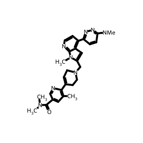 CNc1ccc(-c2ccnc3c2cc(CN2CC=C(c4ncc(C(=O)N(C)C)cc4C)CC2)n3C)nn1